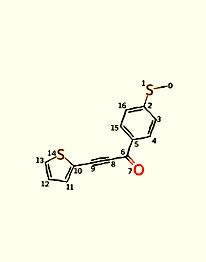 CSc1ccc(C(=O)C#Cc2cccs2)cc1